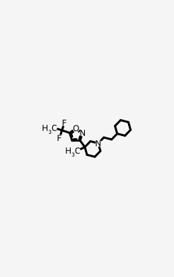 CC(F)(F)c1cc(C2(C)CCCN(CCC3CCCCC3)C2)no1